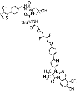 Cc1ncsc1-c1ccc(CNC(=O)[C@@H]2C[C@@H](O)CN2C(=O)[C@@H](NC(=O)COCC(F)C(F)COc2ccc(-c3ccc(N4C(=S)N(c5ccc(C#N)c(C(F)(F)F)c5F)C(=O)C4(C)C)cn3)cc2)C(C)(C)C)cc1